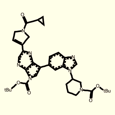 CC(C)(C)OC(=O)N1CCCC(n2cnc3ccc(-c4cn(C(=O)OC(C)(C)C)c5ncc(C6=CCN(C(=O)C7CC7)C6)nc45)cc32)C1